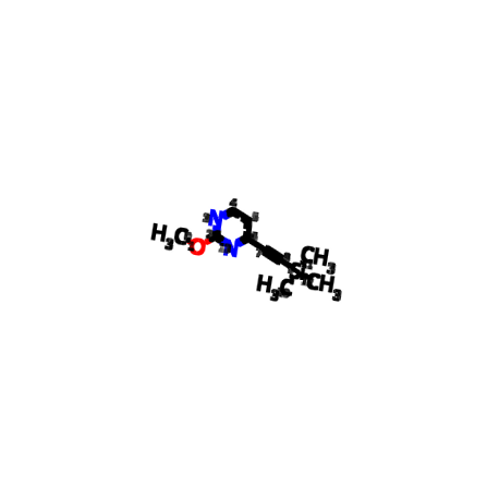 COc1nccc(C#C[Si](C)(C)C)n1